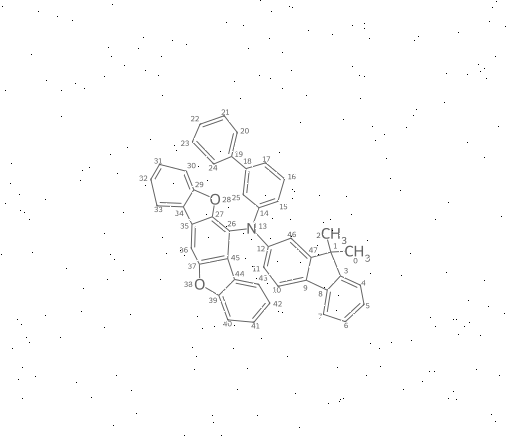 CC1(C)c2ccccc2-c2ccc(N(c3cccc(-c4ccccc4)c3)c3c4oc5ccccc5c4cc4oc5ccccc5c34)cc21